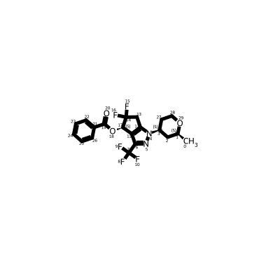 C[C@H]1C[C@@H](n2nc(C(F)(F)F)c3c2CC(F)(F)[C@H]3OC(=O)c2ccccc2)CCO1